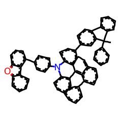 CC1(c2ccccc2)c2ccccc2-c2ccc(-c3ccc(N(c4ccc(-c5cccc6oc7ccccc7c56)cc4)c4ccccc4C4=c5c(-c6ccccc6)cccc5=CCC4)cc3)cc21